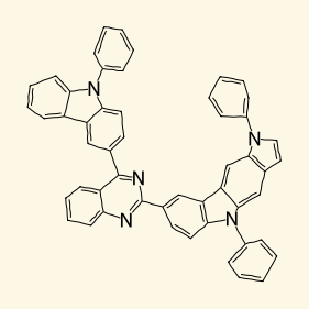 c1ccc(-n2ccc3cc4c(cc32)c2cc(-c3nc(-c5ccc6c(c5)c5ccccc5n6-c5ccccc5)c5ccccc5n3)ccc2n4-c2ccccc2)cc1